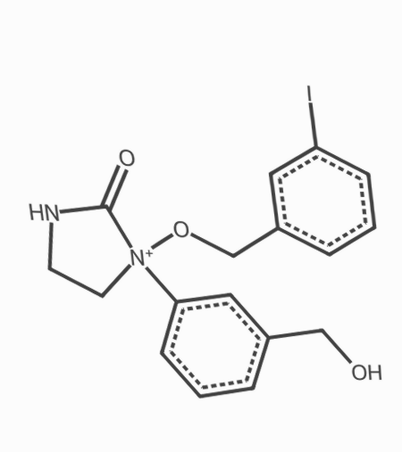 O=C1NCC[N+]1(OCc1cccc(I)c1)c1cccc(CO)c1